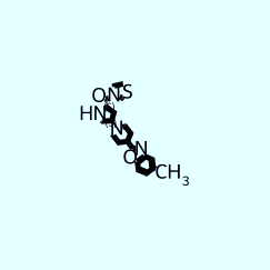 Cc1ccc2oc(C3CCN([C@@H]4CN[C@H](C(=O)N5CCSC5)C4)CC3)nc2c1